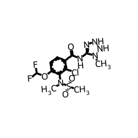 CN1NNN=C1NC(=O)c1ccc(OC(F)F)c(N(C)S(C)(=O)=O)c1Cl